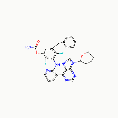 NC(=O)Oc1cc(Cc2ccccc2)c(F)c(Nc2ncccc2-c2ncnc3c2ncn3C2CCCCO2)c1F